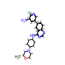 C[C@@H]1CN([C@H]2CC[C@H](Nc3ncnc4ccc(-c5cnc(F)c(N)c5)cc34)CC2)CCO1